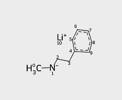 C[N-]CCc1ccccc1.[Li+]